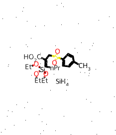 CCCC(=C(CS(=O)(=O)c1ccc(C)cc1)C(=O)O)[Si](OCC)(OCC)OCC.[SiH4]